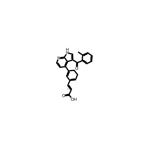 Cc1ccccc1C(=O)c1c[nH]c2nccc(C3=CC(/C=C/C(=O)O)=CCC3)c12